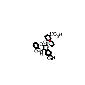 Cc1ccccc1NC(C(=O)C(F)(OC1CCC(C(=O)O)CC1)N1CCCC1)c1ccc2ncoc2c1